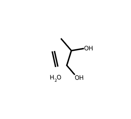 C=C.CC(O)CO.O